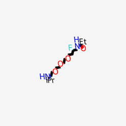 CCC(=O)NCC(F)CCOCCOCCOCCNC(C)C